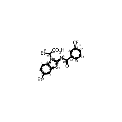 CCc1ccc2c(c1)s/c(=N\C(=O)c1cccc(C(F)(F)F)c1)n2C(CC)C(=O)O